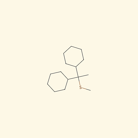 CSC(C)(C1CCCCC1)C1CCCCC1